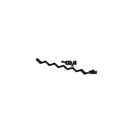 C=CCCCCCCCCC=CCCCC.CC(=O)O